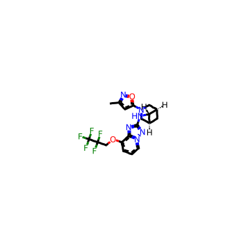 Cc1cc(N2C[C@H]3C[C@@H](C2)[C@@H]3Nc2nc3c(OCC(F)(F)C(F)(F)F)cccn3n2)on1